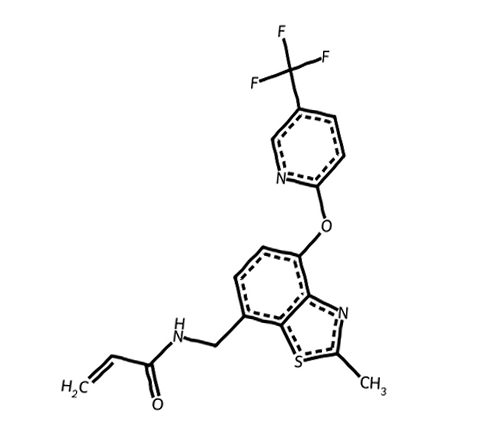 C=CC(=O)NCc1ccc(Oc2ccc(C(F)(F)F)cn2)c2nc(C)sc12